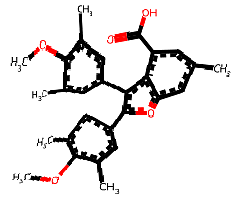 COc1c(C)cc(-c2oc3cc(C)cc(C(=O)O)c3c2-c2cc(C)c(OC)c(C)c2)cc1C